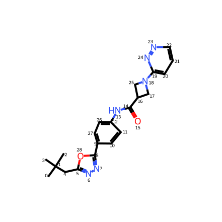 CC(C)(C)Cc1nnc(-c2ccc(NC(=O)C3CN(c4cccnn4)C3)cc2)o1